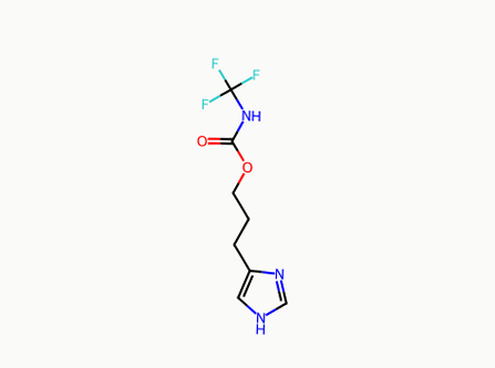 O=C(NC(F)(F)F)OCCCc1c[nH]cn1